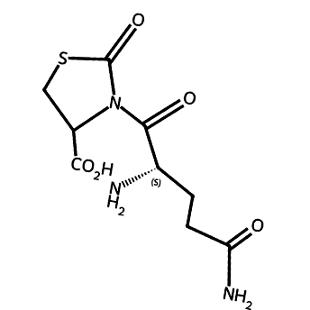 NC(=O)CC[C@H](N)C(=O)N1C(=O)SCC1C(=O)O